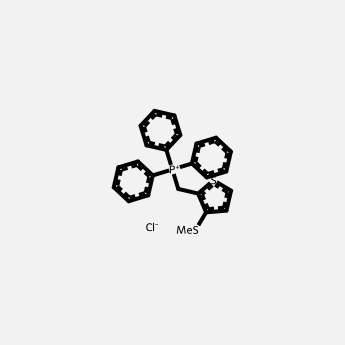 CSc1ccsc1C[P+](c1ccccc1)(c1ccccc1)c1ccccc1.[Cl-]